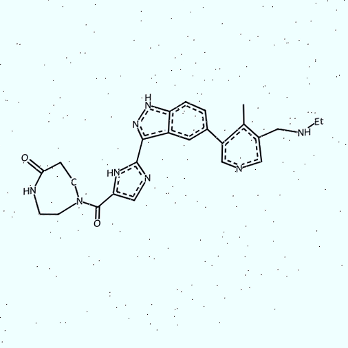 CCNCc1cncc(-c2ccc3[nH]nc(-c4ncc(C(=O)N5CCNC(=O)CC5)[nH]4)c3c2)c1C